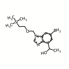 Bc1cc(C(C)O)c2ncn(COCC[Si](C)(C)C)c2c1